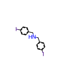 Ic1ccc(CNCc2ccc(I)cc2)cc1